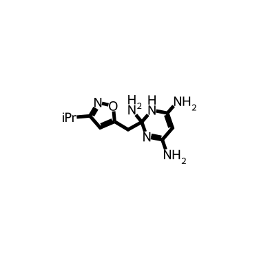 CC(C)c1cc(CC2(N)N=C(N)C=C(N)N2)on1